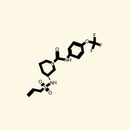 C=CCS(=O)(=O)N[C@@H]1CCCN(C(=O)Nc2ccc(OC(F)(F)F)cc2)C1